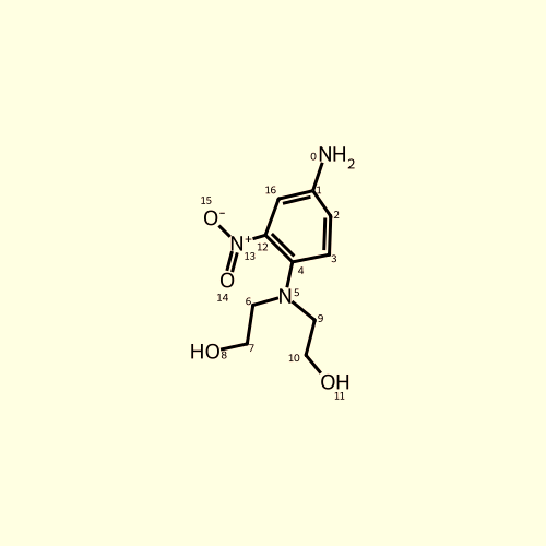 Nc1ccc(N(CCO)CCO)c([N+](=O)[O-])c1